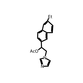 CCc1ccc2cc(C(Cn3ccnc3)OC(C)=O)ccc2c1